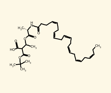 CC/C=C\C/C=C\C/C=C\C/C=C\C/C=C\C/C=C\CCC(=O)N[C@@H](C)C(=O)OC(C)C(C(=O)O)C(=O)OC(C)(C)C